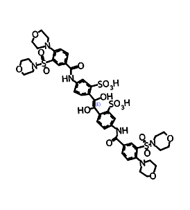 O=C(Nc1ccc(/C(O)=C(\O)c2ccc(NC(=O)c3ccc(N4CCOCC4)c(S(=O)(=O)N4CCOCC4)c3)cc2S(=O)(=O)O)c(S(=O)(=O)O)c1)c1ccc(N2CCOCC2)c(S(=O)(=O)N2CCOCC2)c1